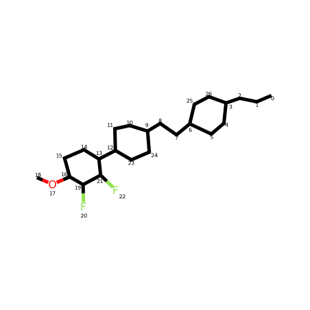 CCCC1CCC(CCC2CCC(C3CCC(OC)C(F)C3F)CC2)CC1